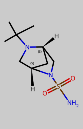 CC(C)(C)N1C[C@@H]2C[C@H]1CN2S(N)(=O)=O